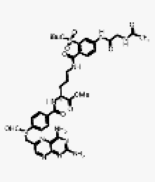 COC(=O)[C@H](CCCNC(=O)c1ccc(NC(=O)CNC(=O)C(F)(F)F)cc1S(=O)(=O)OCC(C)C)NC(=O)c1ccc(N(C=O)Cc2cnc3nc(N)nc(N)c3n2)cc1